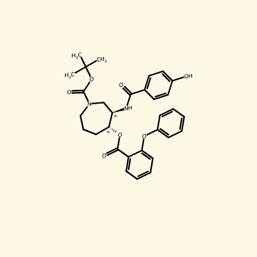 CC(C)(C)OC(=O)N1CCC[C@@H](OC(=O)c2ccccc2Oc2ccccc2)[C@H](NC(=O)c2ccc(O)cc2)C1